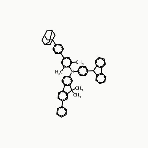 Cc1cc(-c2ccc(C34CC5CC(CC(C5)C3)C4)cc2)cc(C)c1N(c1ccc(C2c3ccccc3-c3ccccc32)cc1)c1ccc2c(c1)C(C)(C)c1cc(-c3ccccc3)ccc1-2